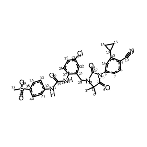 CC1(C)C(=O)N(c2ccc(C#N)c(C3CC3)c2)C(=O)N1Cc1cc(Cl)ccc1NC(=O)Nc1ccc(S(C)(=O)=O)cc1